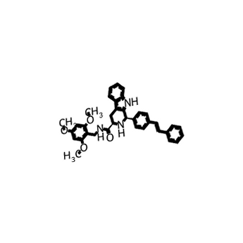 COc1cc(OC)c(CNC(=O)[C@H]2Cc3c([nH]c4ccccc34)[C@@H](c3ccc(C=Cc4ccccc4)cc3)N2)c(OC)c1